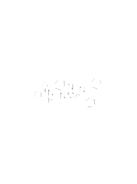 CCC(=O)Nc1ccc(C)c(N2CCN(C(c3ccccc3)c3ccccc3)CC2)c1NC